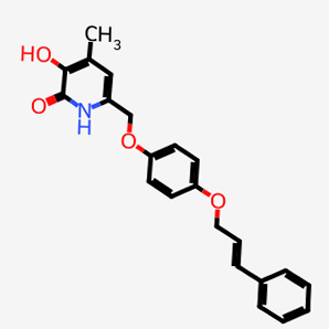 Cc1cc(COc2ccc(OCC=Cc3ccccc3)cc2)[nH]c(=O)c1O